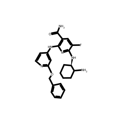 NC(=O)c1cc(F)c(N[C@@H]2CCCCC2N)nc1Nc1ccnc(OCc2ccccc2)c1